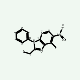 CCc1nc2c(C)c([N+](=O)[O-])cnc2n1-c1ccccc1